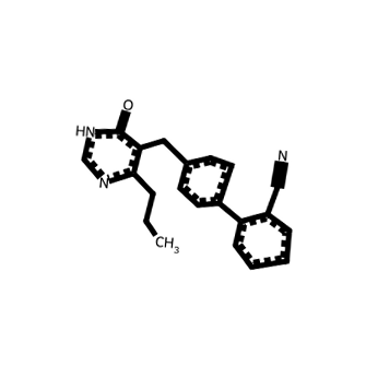 CCCc1nc[nH]c(=O)c1Cc1ccc(-c2ccccc2C#N)cc1